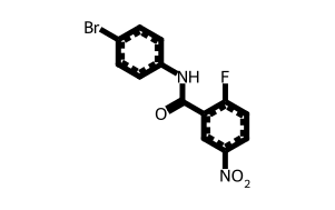 O=C(Nc1ccc(Br)cc1)c1cc([N+](=O)[O-])ccc1F